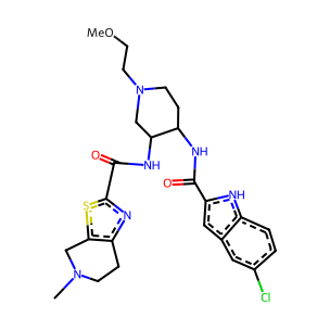 COCCN1CCC(NC(=O)c2cc3cc(Cl)ccc3[nH]2)C(NC(=O)c2nc3c(s2)CN(C)CC3)C1